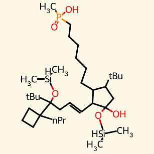 CCCC1(C(CC=CC2C(CCCCCCP(C)(=O)O)C(C(C)(C)C)CC2(O)O[SiH](C)C)(O[SiH](C)C)C(C)(C)C)CCC1